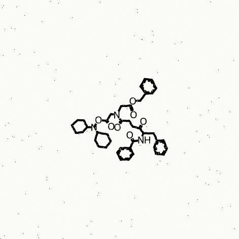 O=C(CN(CC(=O)ON(C1CCCCC1)C1CCCCC1)C(=O)CCC(=O)C(Cc1ccccc1)NC(=O)c1ccccc1)OCc1ccccc1